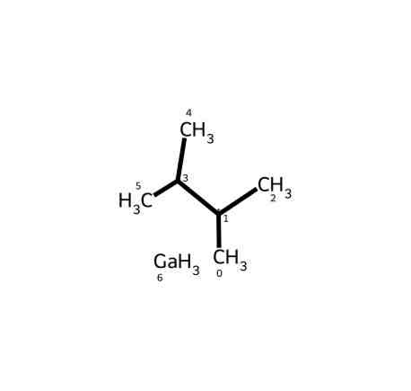 C[C](C)C(C)C.[GaH3]